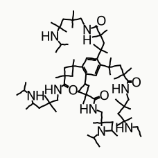 CCNC(C)(C)CC(C)(C)CNC(=O)C(C)(C)CC(C)(C)c1cc(C2(C)CC(C)(C(=O)NCC3(C)CC(C)N3C(C)C)C2)c(C2(C)CC(C)(C(=O)NCC(C)(C)CC(C)NC(C)C)C2)cc1C(C)(C)CC(C)(C)C(=O)NCC(C)(C)CC(C)(C)NC(C)C